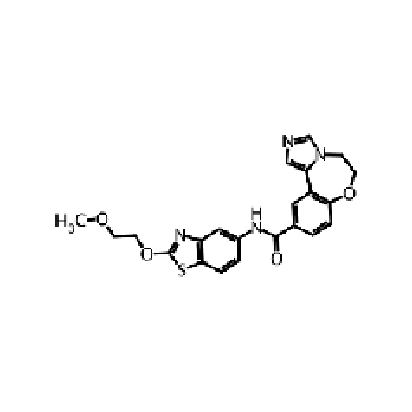 COCCOc1nc2cc(NC(=O)c3ccc4c(c3)-c3cncn3CCO4)ccc2s1